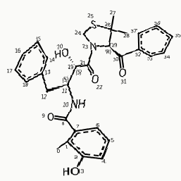 Cc1c(O)cccc1C(=O)N[C@@H](Cc1ccccc1)[C@H](O)C(=O)N1CSC(C)(C)[C@H]1C(=O)c1ccccc1